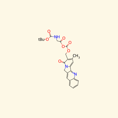 Cc1cc2n(c(=O)c1COC(=O)OC(=O)CNC(=O)OC(C)(C)C)Cc1cc3ccccc3nc1-2